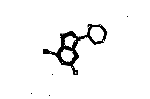 CCc1cc(Cl)cc2c1ncn2C1CCCCO1